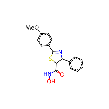 COc1ccc(C2=NC(c3ccccc3)C(C(=O)NO)S2)cc1